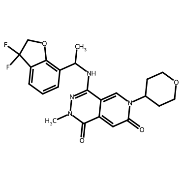 CC(Nc1nn(C)c(=O)c2cc(=O)n(C3CCOCC3)cc12)c1cccc2c1OCC2(F)F